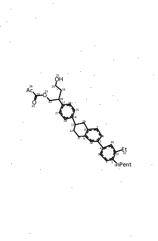 CCCCCc1ccc(-c2ccc3c(c2)CCC(c2ccc(C(CCO)COC(=O)C(C)=O)cc2)C3)cc1CC